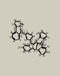 c1cc(-n2c3ccccc3c3cccnc32)cc(-n2c3ccccc3c3cc4c5ccccc5n5c6ccccc6c(c32)c45)c1